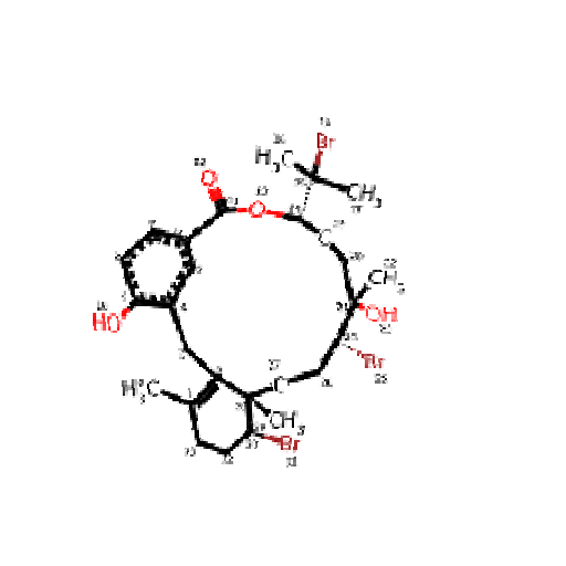 CC1=C2Cc3cc(ccc3O)C(=O)O[C@H](C(C)(C)Br)CC[C@](C)(O)[C@H](Br)CC[C@]2(C)[C@@H](Br)CC1